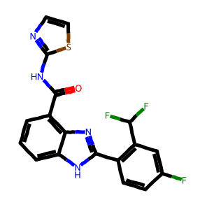 O=C(Nc1nccs1)c1cccc2[nH]c(-c3ccc(F)cc3C(F)F)nc12